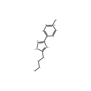 CCCCc1nc(-c2ccc(C)cc2)no1